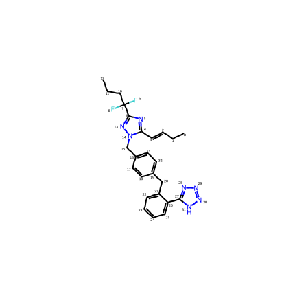 CCC=Cc1nc(C(F)(F)CCC)nn1Cc1ccc(Cc2ccccc2-c2nnn[nH]2)cc1